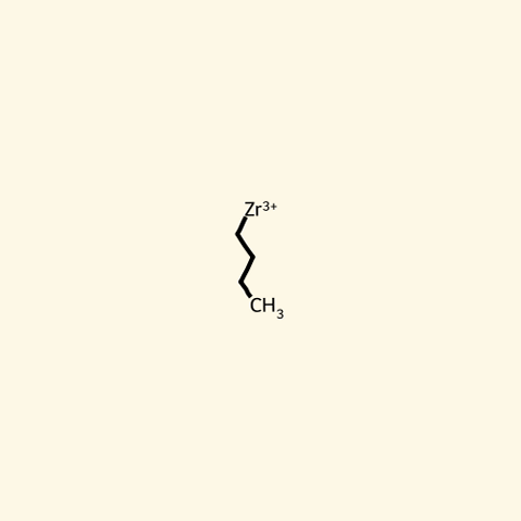 CCC[CH2][Zr+3]